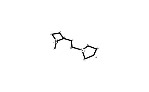 CN1CCC1CCN1CCCC1